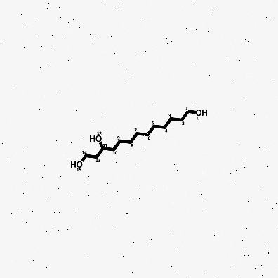 OCCCCCCCCCCC(O)CCO